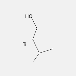 CC(C)CCO.[Ti]